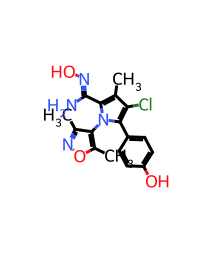 Cc1noc(C)c1-n1c(/C(N)=N/O)c(C)c(Cl)c1-c1ccc(O)cc1